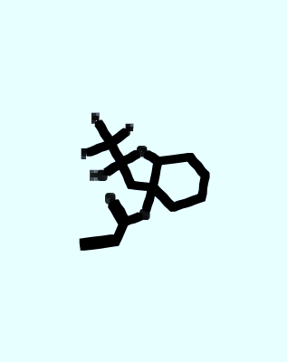 C=CC(=O)OC12CCCCC1OC(O)(C(F)(F)F)C2